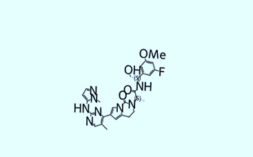 COc1cc(F)cc([C@@H](CO)NC(=O)[C@H](C)N2CCc3cc(-c4nc(Nc5ccnn5C)ncc4C)cn3C2=O)c1